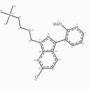 COc1ncccc1-c1nn(COCC[Si](C)(C)C)c2nc(Cl)ccc12